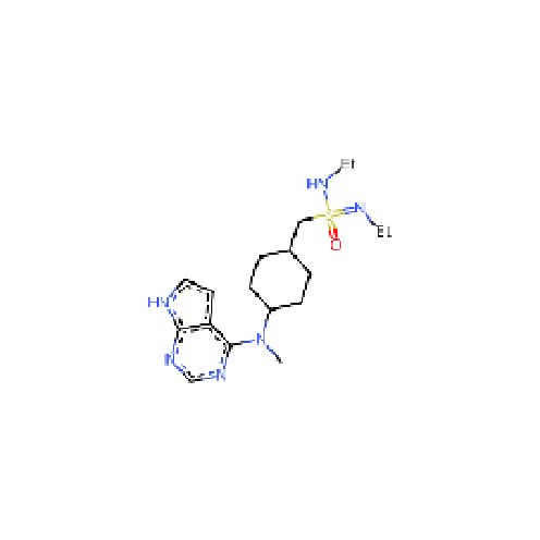 CCN=S(=O)(CC1CCC(N(C)c2ncnc3[nH]ccc23)CC1)NCC